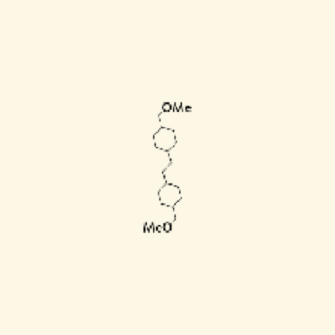 COCC1CCC(CCC2CCC(COC)CC2)CC1